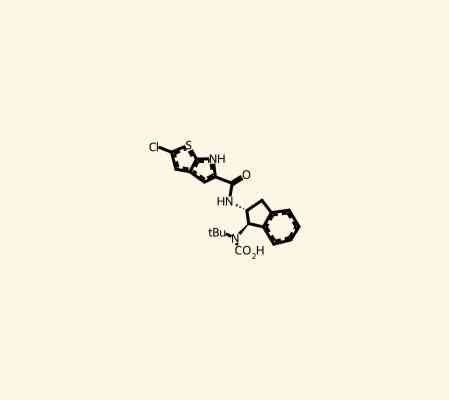 CC(C)(C)N(C(=O)O)[C@@H]1c2ccccc2C[C@H]1NC(=O)c1cc2cc(Cl)sc2[nH]1